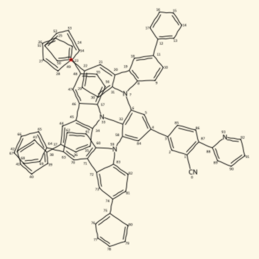 N#Cc1cc(-c2cc(-n3c4ccc(-c5ccccc5)cc4c4cc(-c5ccccc5)ccc43)c(-n3c4ccc(-c5ccccc5)cc4c4cc(-c5ccccc5)ccc43)c(-n3c4ccc(-c5ccccc5)cc4c4cc(-c5ccccc5)ccc43)c2)ccc1-c1ccccn1